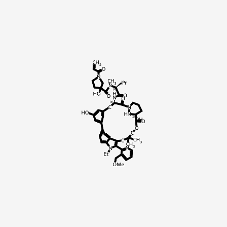 C=CC(=O)N1CCC(O)(C(=O)N(C)[C@H](C(=O)N[C@H]2Cc3cc(O)cc(c3)-c3ccc4c(c3)c(c(-c3ncccc3COC)n4CC)CC(C)(C)COC(=O)[C@@]3(O)CCCN(N3)C2=O)C(C)C)C1